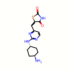 N[C@H]1CC[C@H](Nc2nccc(C=C3SC(=O)NC3=O)n2)CC1